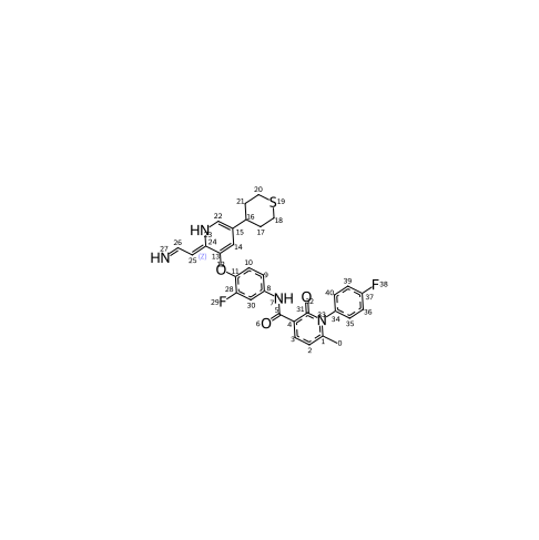 Cc1ccc(C(=O)Nc2ccc(OC3=CC(C4CCSCC4)=CN/C3=C\C=N)c(F)c2)c(=O)n1-c1ccc(F)cc1